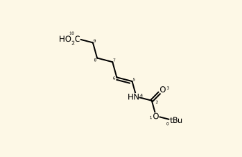 CC(C)(C)OC(=O)NC=CCCCC(=O)O